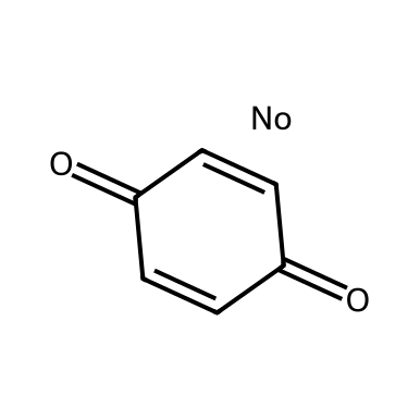 O=C1C=CC(=O)C=C1.[No]